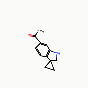 CNC(=O)c1ccc2c(c1)NCC21CC1